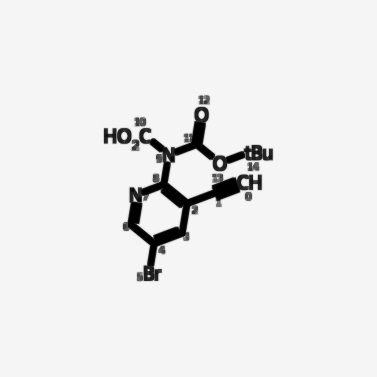 C#Cc1cc(Br)cnc1N(C(=O)O)C(=O)OC(C)(C)C